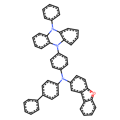 c1ccc(-c2ccc(N(c3ccc(N4c5ccccc5N(c5ccccc5)c5ccccc54)cc3)c3ccc4oc5ccccc5c4c3)cc2)cc1